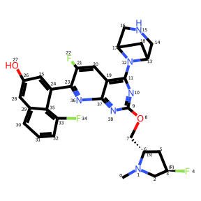 CN1C[C@H](F)C[C@H]1COc1nc(N2C3CNCC2C3)c2cc(F)c(-c3cc(O)cc4cccc(F)c34)nc2n1